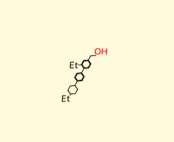 CCc1cc(CCO)ccc1-c1ccc(C2CCC(CC)CC2)cc1